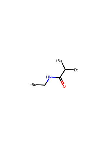 CCC(C(=O)NCC(C)(C)C)C(C)(C)C